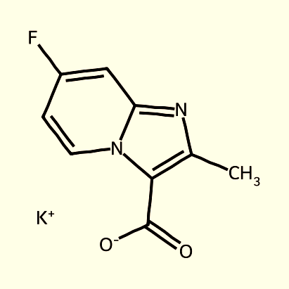 Cc1nc2cc(F)ccn2c1C(=O)[O-].[K+]